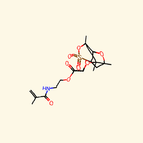 C=C(C)C(=O)NCCOC(=O)COC1(C)C2(C)CC3C(O2)C1(C)OS3(=O)=O